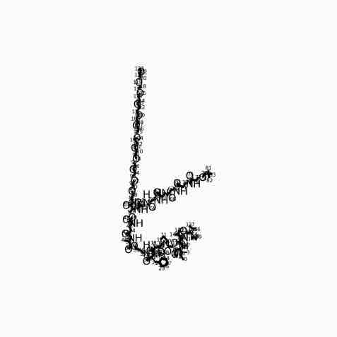 CC[C@H](C)[C@@H]([C@@H](CC(=O)N1CCC[C@H]1[C@H](OC)[C@@H](C)C(=O)N[C@@H](Cc1ccccc1)C(=O)NCCCOC(=O)C(C)NC(=O)CCNC(=O)OCC(NC(=O)CNC(=O)CNC(=O)CNC(=O)CNC(=O)CCNC(=O)CCOCC(C)(C)C)C(=O)NCCOCCOCCOCCOCCOCCOCCOCCOCCOCCOCCOCCOC)OC)N(C)C(=O)[C@@H](NC(=O)[C@H](C(C)C)N(C)C)C(C)C